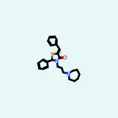 O=C1/C(=C/c2ccccc2)SC(c2ccccc2)N1CCCN1CCCCCC1